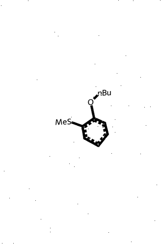 CCCCOc1ccccc1SC